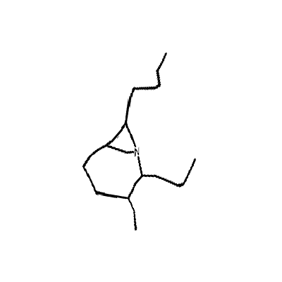 CCCC1C2CCC(C)C(CC)N12